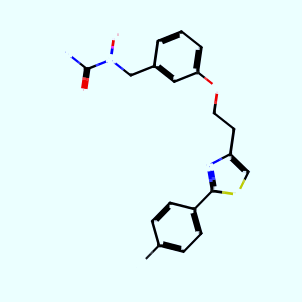 NC(=O)N(O)Cc1cccc(OCCc2csc(-c3ccc(C(F)(F)F)cc3)n2)c1